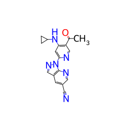 CC(=O)c1cnc(-n2ncc3cc(C#N)cnc32)cc1NC1CC1